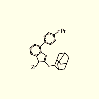 CCCc1ccc(-c2cccc3c2C=C(CC2C4CC5CC(C4)CC2C5)[CH]3[Zr])cc1